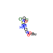 CC(C)(C)OC(=O)N1CCc2cc(Nc3ncc4c(n3)SCN(c3c(Cl)cccc3Cl)C4=O)ccc2C1